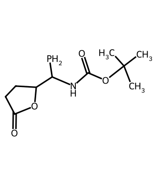 CC(C)(C)OC(=O)NC(P)C1CCC(=O)O1